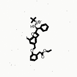 CCOC(=O)Cc1ccccc1OCc1cc(I)c2oc(C(N[S@+]([O-])C(C)(C)C)c3ccccc3)cc2c1